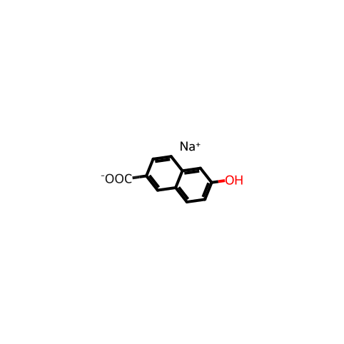 O=C([O-])c1ccc2cc(O)ccc2c1.[Na+]